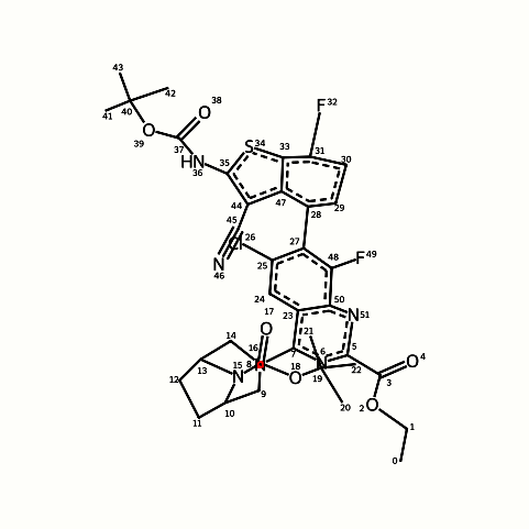 CCOC(=O)c1nc(N2CC3CCC(C2)N3C(=O)OC(C)(C)C)c2cc(Cl)c(-c3ccc(F)c4sc(NC(=O)OC(C)(C)C)c(C#N)c34)c(F)c2n1